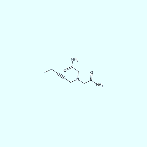 CCC#CCN(CC(N)=O)CC(N)=O